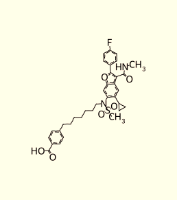 CNC(=O)c1c(-c2ccc(F)cc2)oc2cc(N(CCCCCCCc3ccc(C(=O)O)cc3)S(C)(=O)=O)c(C3CC3)cc12